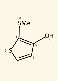 CSc1sccc1O